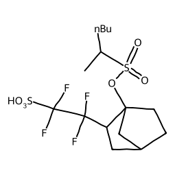 CCCCC(C)S(=O)(=O)OC12CCC(CC1C(F)(F)C(F)(F)S(=O)(=O)O)C2